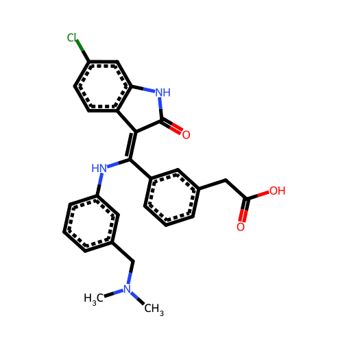 CN(C)Cc1cccc(NC(=C2C(=O)Nc3cc(Cl)ccc32)c2cccc(CC(=O)O)c2)c1